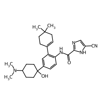 CN(C)C1CCC(O)(c2ccc(NC(=O)c3ncc(C#N)[nH]3)c(C3=CCC(C)(C)CC3)c2)CC1